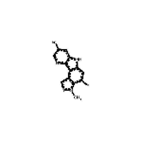 Cn1ncc2c3c(cc(F)c21)[nH]c1cc(Br)cnc13